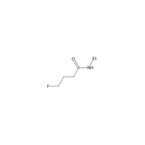 C[CH]NC(=O)CCCF